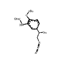 CCCCOc1ccc([C@@H](O)CN=[N+]=[N-])cc1NC=O